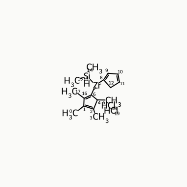 CC1=C(C)C(C)[C]([Zr]([C]2=CC=CC2)[SiH](C)C)=C1C.Cl.Cl